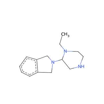 CCN1CCNCC1N1Cc2ccccc2C1